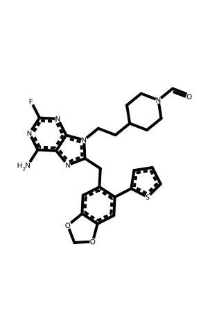 Nc1nc(F)nc2c1nc(Cc1cc3c(cc1-c1cccs1)OCO3)n2CCC1CCN(C=O)CC1